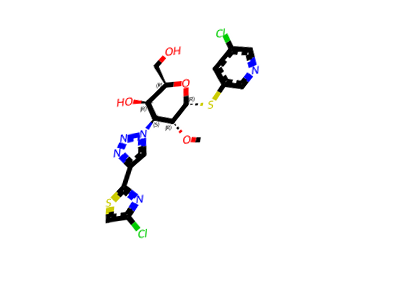 CO[C@@H]1[C@@H](n2cc(-c3nc(Cl)cs3)nn2)[C@@H](O)[C@@H](CO)O[C@@H]1Sc1cncc(Cl)c1